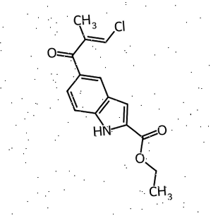 CCOC(=O)c1cc2cc(C(=O)C(C)=CCl)ccc2[nH]1